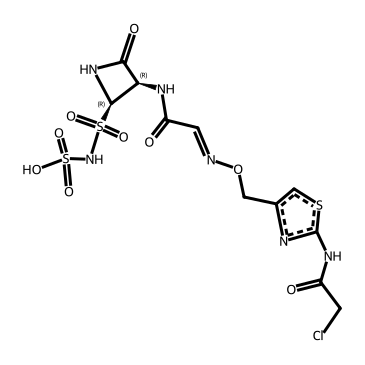 O=C(C=NOCc1csc(NC(=O)CCl)n1)N[C@@H]1C(=O)N[C@@H]1S(=O)(=O)NS(=O)(=O)O